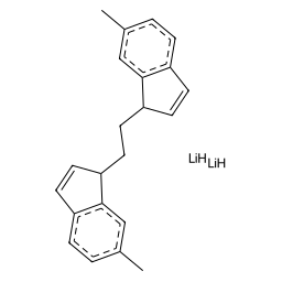 Cc1ccc2c(c1)C(CCC1C=Cc3ccc(C)cc31)C=C2.[LiH].[LiH]